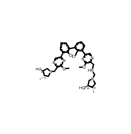 COc1nc(-c2cccc(-c3cccc(-c4cnc(CN5C[C@H](C)[C@@H](O)C5)c(OC)n4)c3Cl)c2Cl)cnc1CNCN1C[C@H](C)[C@@H](O)C1